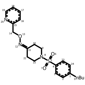 CCCCc1ccc(S(=O)(=O)N2CCC(=NOCc3ccccn3)CC2)cc1